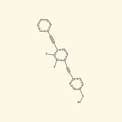 CC(=O)Sc1ccc(C#Cc2ccc(C#Cc3ccccc3)c(F)c2F)cc1